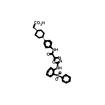 O=C(O)C[C@H]1CC[C@H](c2ccc(NC(=O)c3nnc(Nc4ccccc4S(=O)(=O)c4ccccc4)o3)cc2)CC1